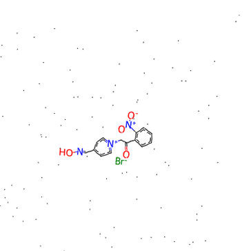 O=C(C[n+]1ccc(/C=N/O)cc1)c1ccccc1[N+](=O)[O-].[Br-]